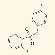 Cc1ccc(OS(=O)(=O)c2ccccc2I)cc1